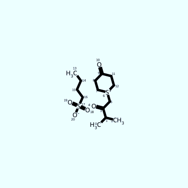 CC(C)C(=O)C[S+]1CCC(=O)CC1.CCCCS(=O)(=O)[O-]